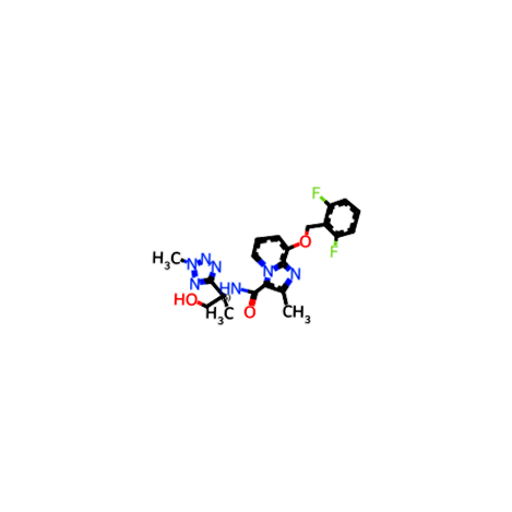 Cc1nc2c(OCc3c(F)cccc3F)cccn2c1C(=O)N[C@](C)(CO)c1nnn(C)n1